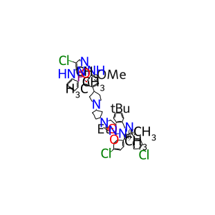 CCOc1cc(C(C)(C)C)ccc1C1=N[C@@](C)(c2ccc(Cl)cc2)[C@@](C)(c2ccc(Cl)cc2)N1C(=O)N1CCN(C2CCC(N3CCC(c4cc(OC)c(Nc5ncc(Cl)c(Nc6ccccc6P(C)(C)=O)n5)cc4C)CC3)C2)CC1